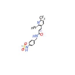 CCCc1nc(C(F)(F)F)ccc1/C=C/C(=O)NCc1ccc(NS(C)(=O)=O)cc1